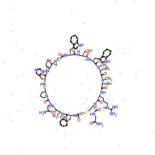 CCCC[C@H]1C(=O)N(C)[C@@H](CCCC)C(=O)N[C@@H](CCCNC(=N)N)C(=O)N[C@H](C(=O)NCC(N)=O)CSCC(=O)N[C@@H](Cc2ccccc2)C(=O)N(C)[C@@H](C)C(=O)N[C@@H](CC(N)=O)C(=O)N2CCCC2CN[C@@H](Cc2cnc[nH]2)C(=O)N[C@@H](CC(C)C)C(=O)NCC(=O)N[C@@H](Cc2c[nH]c3ccccc23)C(=O)N[C@@H](CO)C(=O)N[C@@H](Cc2c[nH]c3ccccc23)C(=O)N1C